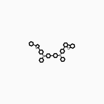 c1ccc(-c2ccc(-c3ccc(N(c4ccccc4)c4ccc(-c5ccc(N(c6ccccc6)c6ccc(-c7cccc8c7oc7ccccc78)cc6)cc5)cc4)cc3)s2)cc1